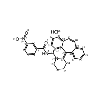 CC(NC(=O)c1cccc([N+](=O)[O-])c1)N1CCCCC1=C1c2ccccc2C=Cc2ccccc21.Cl